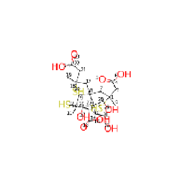 CC(S)(CC(=O)O)CC(CC(C)(S)CC(=O)O)(CC(C)(S)CC(=O)O)C(CO)(CO)CCO